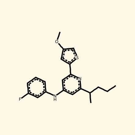 CCCC(C)c1cc(Nc2cccc(F)c2)cc(-c2cc(OC)cs2)n1